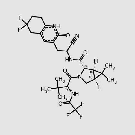 CC(C)(C)[C@H](NC(=O)C(F)(F)F)C(=O)N1C[C@H]2[C@@H]([C@H]1C(=O)NC(C#N)Cc1cc3c([nH]c1=O)CCC(F)(F)C3)C2(C)C